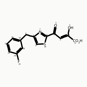 O=C(O)C(O)=CC(=O)c1nc(Cc2cccc(F)c2)cs1